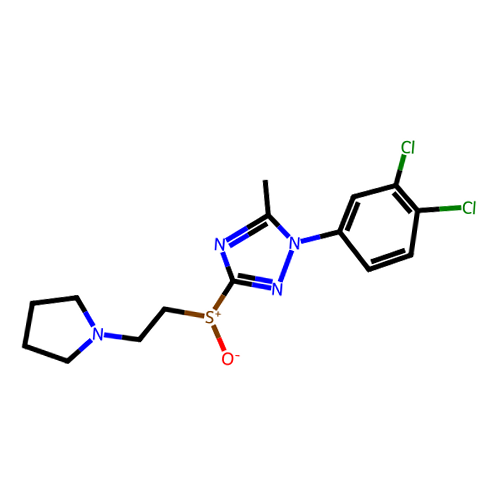 Cc1nc([S+]([O-])CCN2CCCC2)nn1-c1ccc(Cl)c(Cl)c1